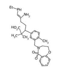 CCP/C=C(\N)CCC(c1ccc(C)c(CN2CCOc3ccccc3S2(=O)=O)c1)C(C)(C)C(=O)O